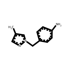 Cc1cnn(Cc2ccc(N)cc2)c1